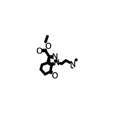 CCOC(=O)c1nn(CCN(C)C)c2c1CCCC2=O